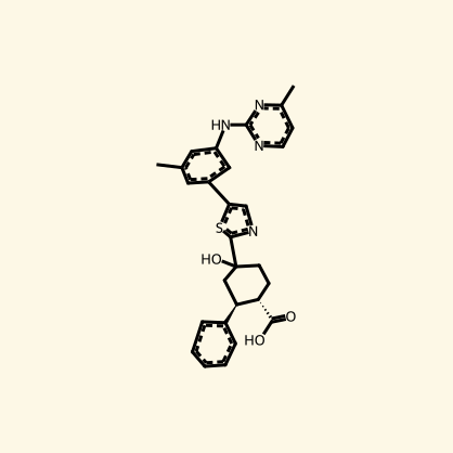 Cc1cc(Nc2nccc(C)n2)cc(-c2cnc(C3(O)CC[C@H](C(=O)O)[C@@H](c4ccccc4)C3)s2)c1